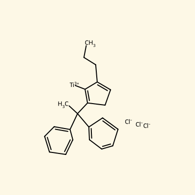 CCCC1=CCC(C(C)(c2ccccc2)c2ccccc2)=[C]1[Ti+3].[Cl-].[Cl-].[Cl-]